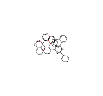 CC1(C)c2ccccc2C2(c3ccccc3Oc3ccccc32)c2cccc(-c3nc(-c4ccccc4)nc(-c4ccccc4-c4ccccc4)n3)c21